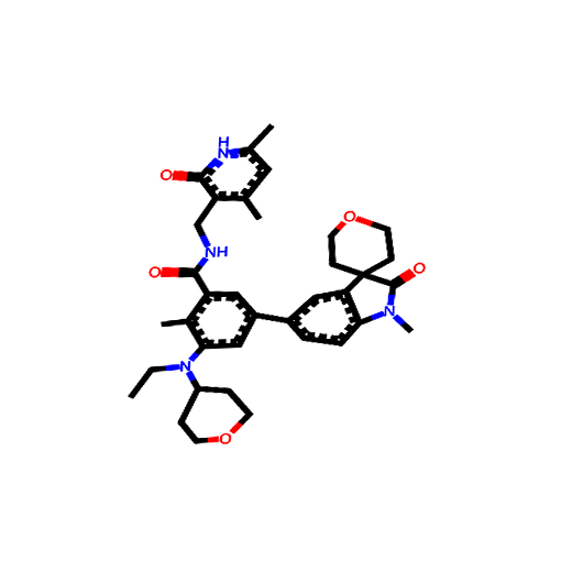 CCN(c1cc(-c2ccc3c(c2)C2(CCOCC2)C(=O)N3C)cc(C(=O)NCc2c(C)cc(C)[nH]c2=O)c1C)C1CCOCC1